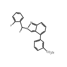 CCOC(=O)c1cccc(-c2cccc3nn(C(F)c4ccccc4F)cc23)c1